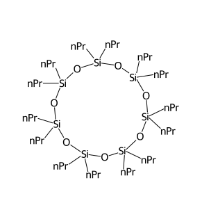 CCC[Si]1(CCC)O[Si](CCC)(CCC)O[Si](CCC)(CCC)O[Si](CCC)(CCC)O[Si](CCC)(CCC)O[Si](CCC)(CCC)O[Si](CCC)(CCC)O1